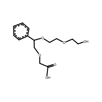 O=C(O)COCC(OCCOCCO)c1ccccc1